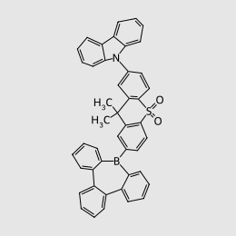 CC1(C)c2cc(B3c4ccccc4-c4ccccc4-c4ccccc43)ccc2S(=O)(=O)c2ccc(-n3c4ccccc4c4ccccc43)cc21